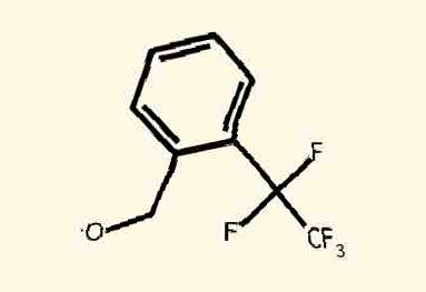 [O]Cc1ccccc1C(F)(F)C(F)(F)F